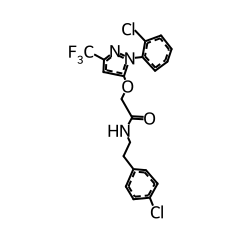 O=C(COc1cc(C(F)(F)F)nn1-c1ccccc1Cl)NCCc1ccc(Cl)cc1